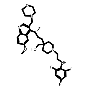 COc1ccc2ncc(CN3CCOCC3)c([C@H](F)CCC3(CO)CCN(CCNc4c(F)cc(F)cc4F)CC3)c2c1